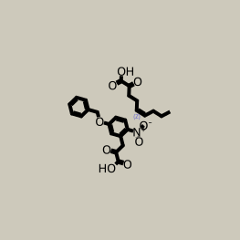 CCC/C=C\CCC(=O)C(=O)O.O=C(O)C(=O)Cc1cc(OCc2ccccc2)ccc1[N+](=O)[O-]